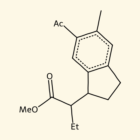 CCC(C(=O)OC)C1CCc2cc(C)c(C(C)=O)cc21